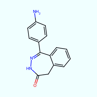 Nc1ccc(C2=NNC(=O)Cc3ccccc32)cc1